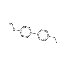 CCc1ccc(-c2ccc(OS)cc2)cc1